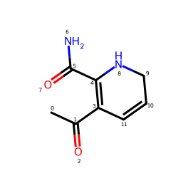 CC(=O)C1=C(C(N)=O)NCC=C1